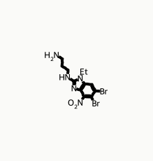 CCn1c(NCCCN)nc2c([N+](=O)[O-])c(Br)c(Br)cc21